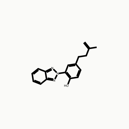 C=C(C)CCc1ccc(O)c(-n2nc3ccccc3n2)c1